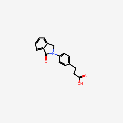 O=C(O)CCc1ccc(N2Cc3ccccc3C2=O)cc1